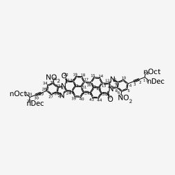 CCCCCCCCCCC(C#Cc1cc([N+](=O)[O-])c2c(c1)nc1c3ccc4c5ccc6c(=O)n7c(nc8cc(C#CC(CCCCCCCC)CCCCCCCCCC)cc([N+](=O)[O-])c87)c7ccc(c8ccc(c(=O)n12)c3c84)c5c67)CCCCCCCC